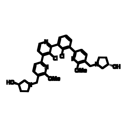 COc1nc(-c2cccc(-c3nccc(-c4ccc(CN5CC[C@@H](O)C5)c(OC)n4)c3Cl)c2Cl)ccc1CN1CC[C@H](O)C1